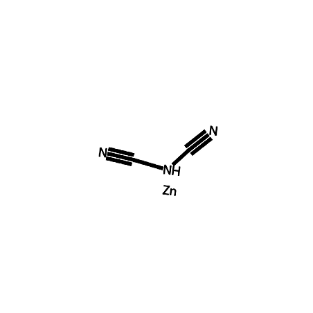 N#CNC#N.[Zn]